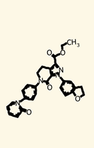 CCOC(=O)c1nn(-c2ccc3c(c2)CCO3)c2c1CCN(c1ccc(-n3ccccc3=O)cc1)C2=O